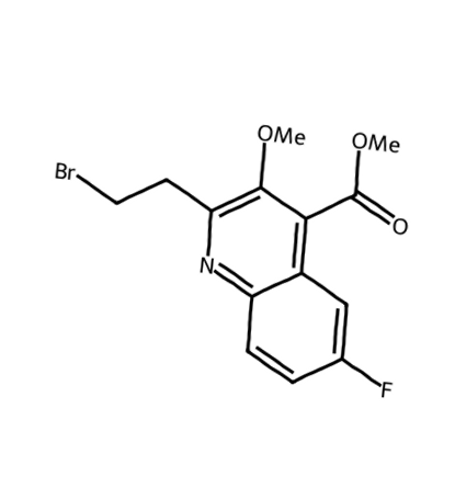 COC(=O)c1c(OC)c(CCBr)nc2ccc(F)cc12